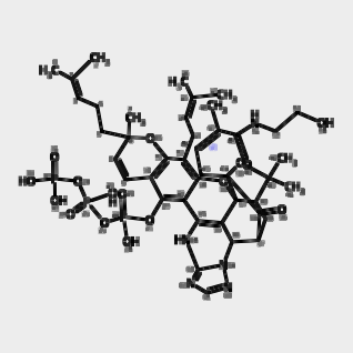 CC(C)=CCCC1(C)C=Cc2c(c(CC=C(C)C)c3c(c2OP(=O)(O)OP(=O)(O)OP(=O)(O)O)C2=C4C(C5CC6C(C)(C)OC(C/C=C(/C)C(=O)NCCO)(C5=O)C46O3)n3ncnc3N2)O1